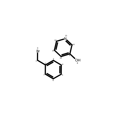 BrCc1ccccc1.Oc1cccnc1